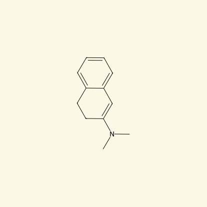 CN(C)C1=Cc2ccccc2CC1